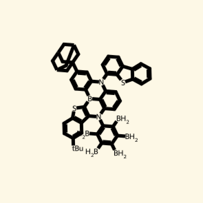 Bc1c(B)c(B)c(N2c3cccc4c3B(c3ccc(C56CC7CC(CC(C7)C5)C6)cc3N4c3cccc4c3sc3ccccc34)c3sc4ccc(C(C)(C)C)cc4c32)c(B)c1B